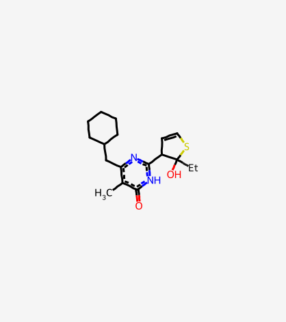 CCC1(O)SC=CC1c1nc(CC2CCCCC2)c(C)c(=O)[nH]1